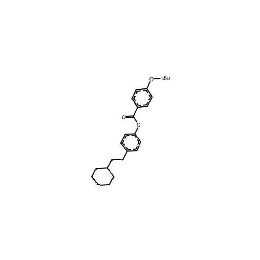 CCCCOc1ccc(C(=O)Oc2ccc(CCC3CC[CH]CC3)cc2)cc1